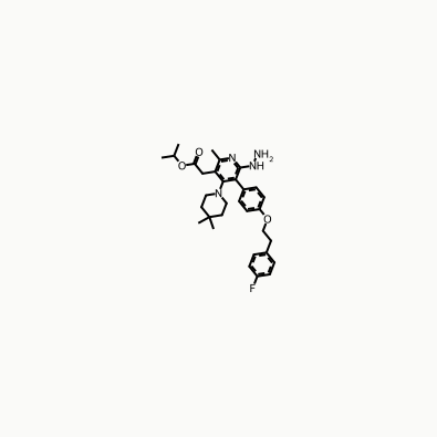 Cc1nc(NN)c(-c2ccc(OCCc3ccc(F)cc3)cc2)c(N2CCC(C)(C)CC2)c1CC(=O)OC(C)C